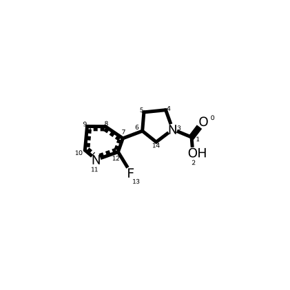 O=C(O)N1CCC(c2cccnc2F)C1